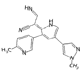 Cc1ccc(C2=CC(c3cnn(C)c3)=CN/C2=C(/C#N)C=N)cn1